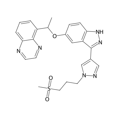 CC(Oc1ccc2[nH]nc(-c3cnn(CCCS(C)(=O)=O)c3)c2c1)c1cccc2nccnc12